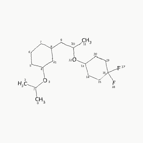 CC(C)OC1CCCC(CC(C)OC2CCC(F)(F)CC2)C1